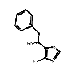 Cc1ncsc1C(O)Cc1ccccc1